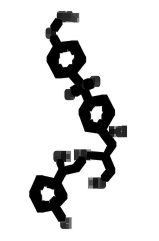 CC(=O)OOc1ccc(S(=O)(=O)c2ccc(C[C@@H](CO)NC[C@H](O)c3cccc(Cl)c3)cc2)cc1.Cl